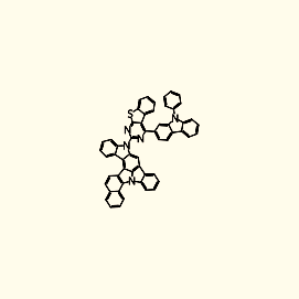 c1ccc(-n2c3ccccc3c3ccc(-c4nc(-n5c6ccccc6c6c7c8ccc9ccccc9c8n8c9ccccc9c(cc65)c78)nc5sc6ccccc6c45)cc32)cc1